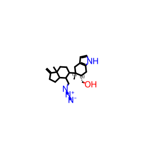 C=C1CCC2C(CN=[N+]=[N-])C([C@]3(C)Cc4cc[nH]c4C[C@@H]3CO)CCC12C